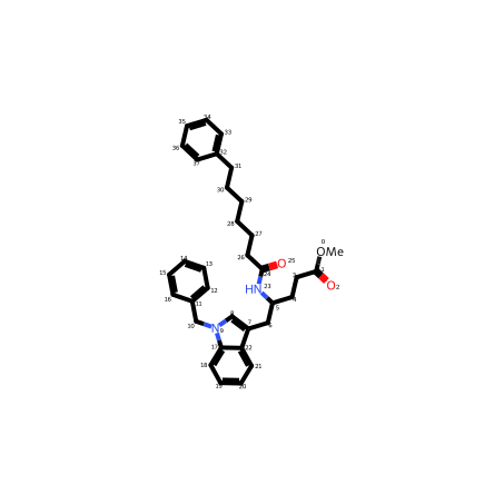 COC(=O)CCC(Cc1cn(Cc2ccccc2)c2ccccc12)NC(=O)CCCCCCc1ccccc1